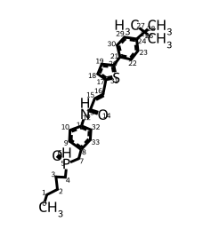 CCCCC[PH](=O)Cc1ccc(NC(=O)/C=C/c2ccc(-c3ccc(C(C)(C)C)cc3)s2)cc1